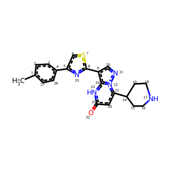 Cc1ccc(-c2csc(-c3cnn4c(C5CCNCC5)cc(=O)[nH]c34)n2)cc1